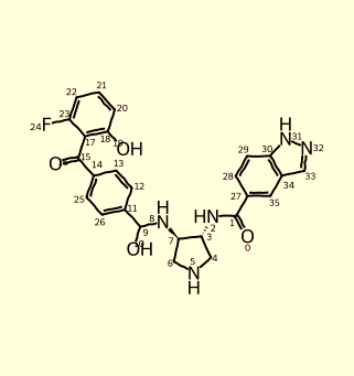 O=C(N[C@@H]1CNC[C@H]1NC(O)c1ccc(C(=O)c2c(O)cccc2F)cc1)c1ccc2[nH]ncc2c1